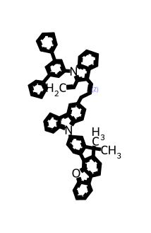 C=Cc1c(/C=C\Cc2ccc3c(c2)c2ccccc2n3-c2ccc3c(c2)C(C)(C)c2ccc4c(oc5ccccc54)c2-3)c2ccccc2n1-c1cc(-c2ccccc2)cc(-c2ccccc2)c1